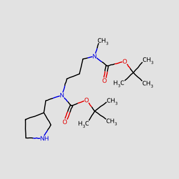 CN(CCCN(CC1CCNC1)C(=O)OC(C)(C)C)C(=O)OC(C)(C)C